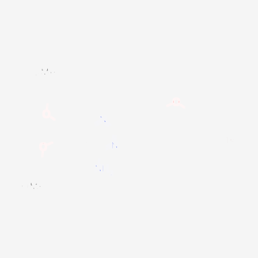 COCCOc1cc2nc(-c3ccc(Oc4ccc(Br)cc4)cc3)nc(N)c2cc1OCCOC